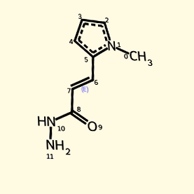 Cn1cccc1/C=C/C(=O)NN